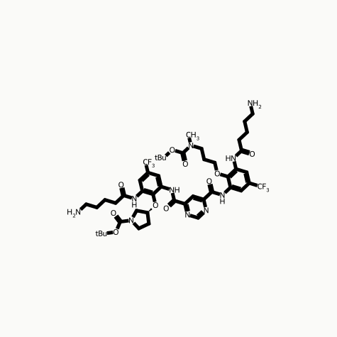 CN(CCCOc1c(NC(=O)CCCCN)cc(C(F)(F)F)cc1NC(=O)c1cc(C(=O)Nc2cc(C(F)(F)F)cc(NC(=O)CCCCN)c2O[C@@H]2CCN(C(=O)OC(C)(C)C)C2)ncn1)C(=O)OC(C)(C)C